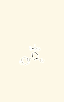 CS(=O)(=O)c1cc(Br)cc(N2CCOCC2)c1